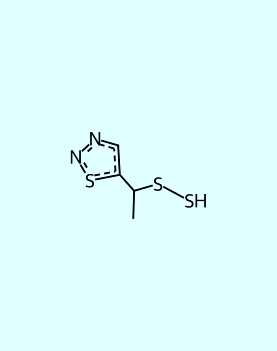 CC(SS)c1cnns1